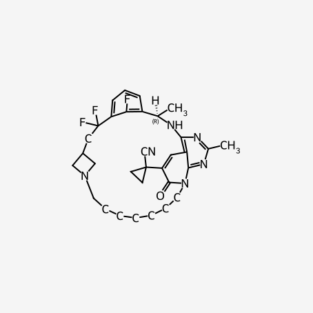 Cc1nc2c3cc(C4(C#N)CC4)c(=O)n(c3n1)CCCCCCCN1CC(C1)CC(F)(F)c1cccc(c1F)[C@@H](C)N2